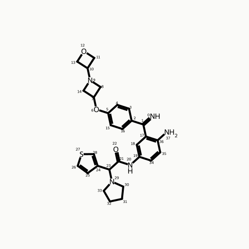 N=C(c1ccc(OC2CN(C3COC3)C2)cc1)c1cc(NC(=O)C(c2ccsc2)N2CCCC2)ccc1N